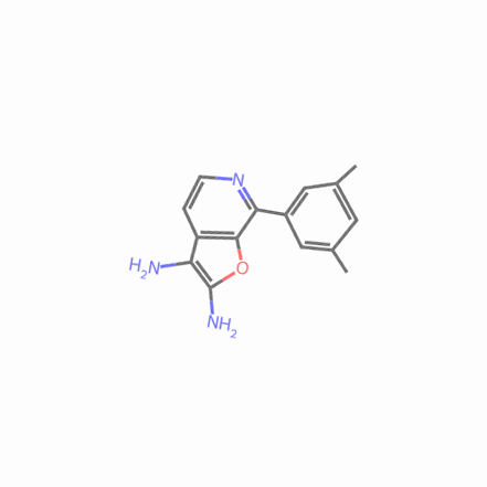 Cc1cc(C)cc(-c2nccc3c(N)c(N)oc23)c1